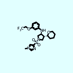 Cn1cnc(S(=O)(=O)N2C[C@@H](Nc3cccc(OCC(F)(F)F)c3)[C@H](C3CCCCO3)C2)c1